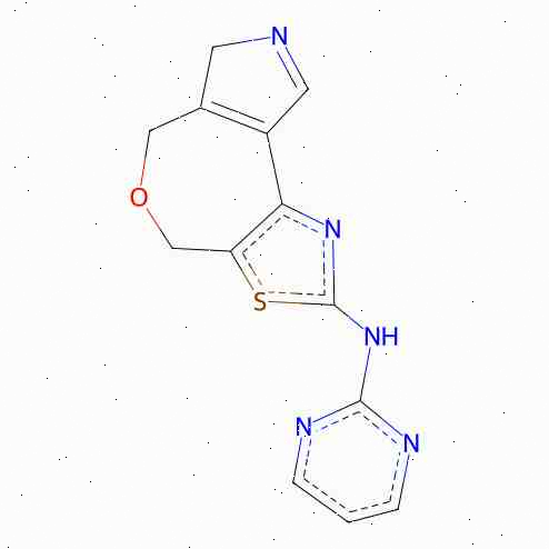 C1=NCC2=C1c1nc(Nc3ncccn3)sc1COC2